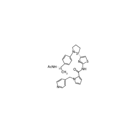 CC(=O)N[C@@H](C)c1ccc(N2CCC[C@@H]2c2csc(NC(=O)c3cccn3Cc3ccncc3)n2)cc1